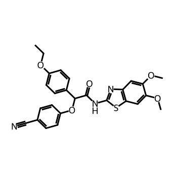 CCOc1ccc(C(Oc2ccc(C#N)cc2)C(=O)Nc2nc3cc(OC)c(OC)cc3s2)cc1